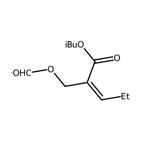 CCC=C(CO[C]=O)C(=O)OCC(C)C